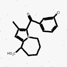 Cc1cc2n(c1C(=O)c1cccc(Cl)c1)CCCCC2C(=O)O